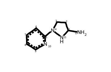 NC1CCN(c2ccccn2)N1